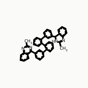 CC1=Nc2ccccc2C(c2cccc(-c3ccccc3-c3ccccc3-c3cccc(-c4nc(C)nc5ccccc45)c3)c2)N1